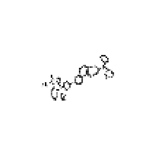 CC1(C)c2ccccc2C2(c3ccccc3-c3cc(-c4ccc5c(ccc6cc(N(c7ccccc7)c7ccccc7)ccc65)c4)ccc32)c2ccccc21